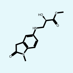 COC(=O)[C@H](O)CNc1ccc2c(c1)CC(=O)N2C